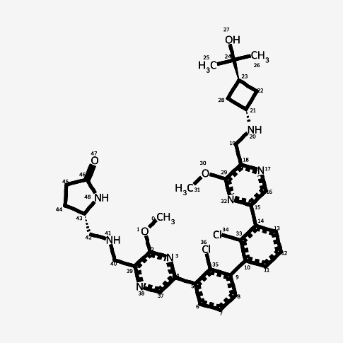 COc1nc(-c2cccc(-c3cccc(-c4cnc(CN[C@H]5C[C@H](C(C)(C)O)C5)c(OC)n4)c3Cl)c2Cl)cnc1CNC[C@@H]1CCC(=O)N1